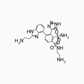 NCCNS(=O)(=O)c1ccc(-c2cccc3[nH]c(CCN)nc23)c(-c2nn[nH]n2)c1S(N)(=O)=O